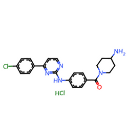 Cl.NC1CCN(C(=O)c2ccc(Nc3nccc(-c4ccc(Cl)cc4)n3)cc2)CC1